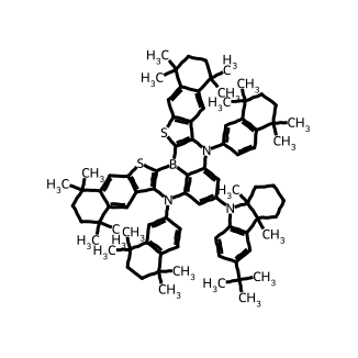 CC(C)(C)c1ccc2c(c1)C1(C)CCCCC1(C)N2c1cc2c3c(c1)N(c1ccc4c(c1)C(C)(C)CCC4(C)C)c1c(sc4cc5c(cc14)C(C)(C)CCC5(C)C)B3c1sc3cc4c(cc3c1N2c1ccc2c(c1)C(C)(C)CCC2(C)C)C(C)(C)CCC4(C)C